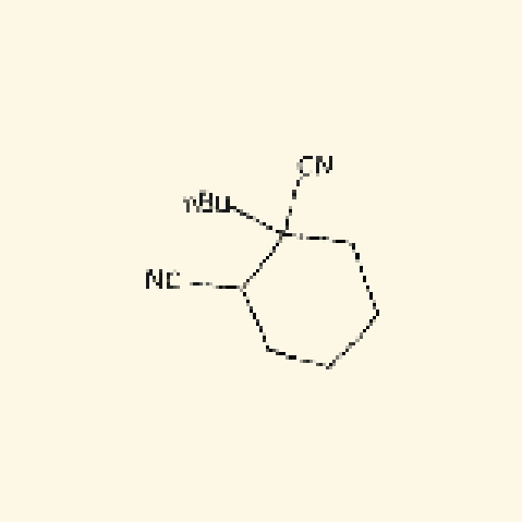 CCCCC1(C#N)CCCCC1C#N